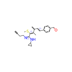 C#CCC/N=C(NC1CC1)\C(SC)=C(/C)C(=C)/C=C/c1ccc(C=O)cc1